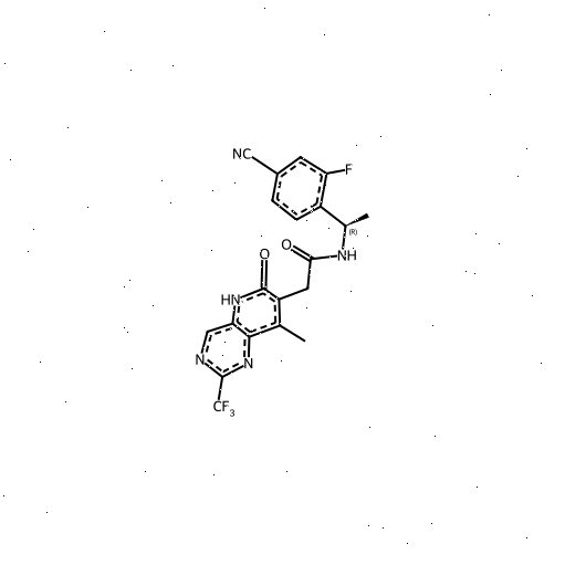 Cc1c(CC(=O)N[C@H](C)c2ccc(C#N)cc2F)c(=O)[nH]c2cnc(C(F)(F)F)nc12